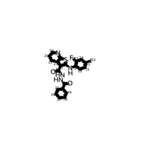 O=C(NNC(=O)c1c(Nc2ccc(I)cc2F)sc2ncccc12)c1ccccc1